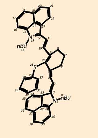 CCCCn1/c(=C/C=C2\CCCC(/C=C/C3=[N+](CCCC)c4cccc5cccc3c45)=C2Sc2ccccc2)c2cccc3cccc1c32